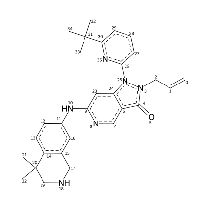 C=CCn1c(=O)c2cnc(Nc3ccc4c(c3)CNCC4(C)C)cc2n1-c1cccc(C(C)(C)C)n1